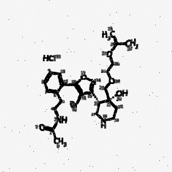 CC(=O)NCCc1ccccc1-c1onc([C@H]2CNCC[C@]2(O)COCCOC(C)C)c1Br.Cl